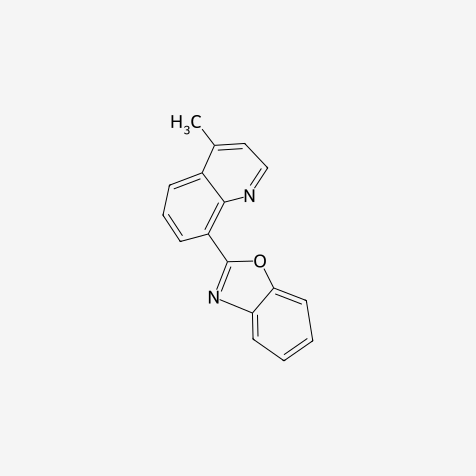 Cc1ccnc2c(-c3nc4ccccc4o3)cccc12